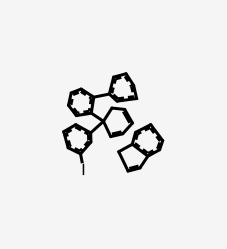 C1=Cc2ccccc2C1.Ic1cccc(C2(c3ccccc3-c3ccccc3)C=CC=CC2)c1